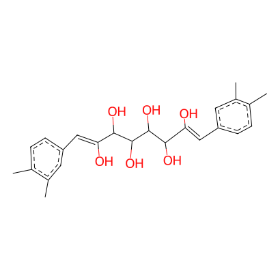 Cc1ccc(C=C(O)C(O)C(O)C(O)C(O)C(O)=Cc2ccc(C)c(C)c2)cc1C